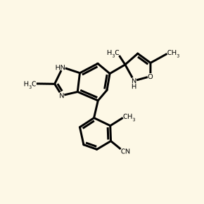 CC1=CC(C)(c2cc(-c3cccc(C#N)c3C)c3nc(C)[nH]c3c2)NO1